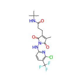 CC1=C(CCC(=O)NC(C)(C)C)C(=O)N(Nc2ccc(C(F)(F)F)c(Cl)n2)C1=O